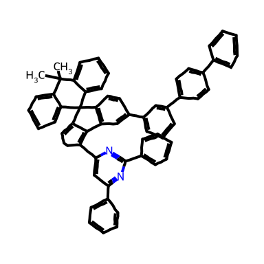 CC1(C)c2ccccc2C2(C3=CCCC(c4cc(-c5ccccc5)nc(-c5ccccc5)n4)=C3c3cc(-c4cccc(-c5ccc(-c6ccccc6)cc5)c4)ccc32)c2ccccc21